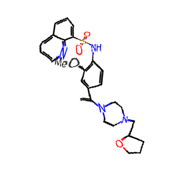 C=C(c1ccc(NS(=O)(=O)c2cccc3cccnc23)c(OC)c1)N1CCN(CC2CCCO2)CC1